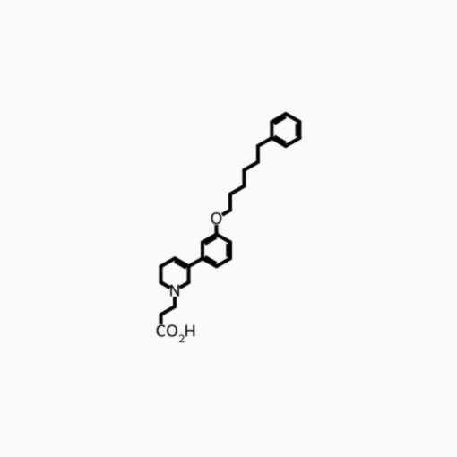 O=C(O)CCN1CCC=C(c2cccc(OCCCCCCc3ccccc3)c2)C1